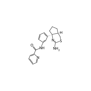 NC1=N[C@@]2(c3cccc(NC(=O)c4ccccn4)c3)CCC[C@H]2CS1